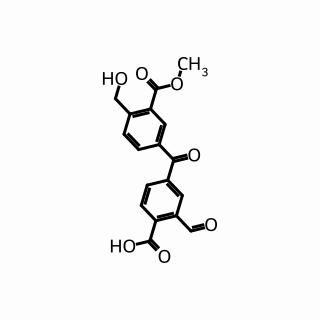 COC(=O)c1cc(C(=O)c2ccc(C(=O)O)c(C=O)c2)ccc1CO